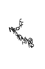 COc1cccnc1NC(=O)C1CN(c2ccc(OCc3c(C)nnn3-c3ccc(C(F)F)cc3)nn2)C1